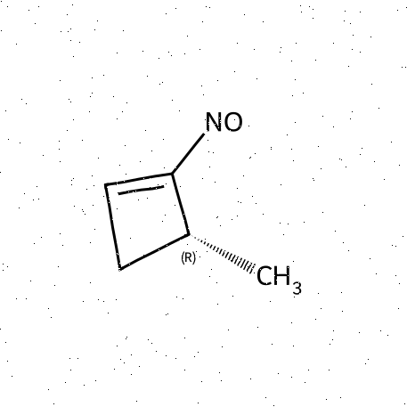 C[C@@H]1CC=C1N=O